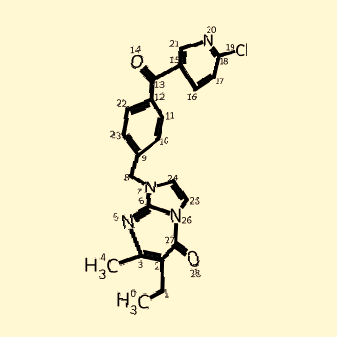 CCc1c(C)nc2n(Cc3ccc(C(=O)c4ccc(Cl)nc4)cc3)ccn2c1=O